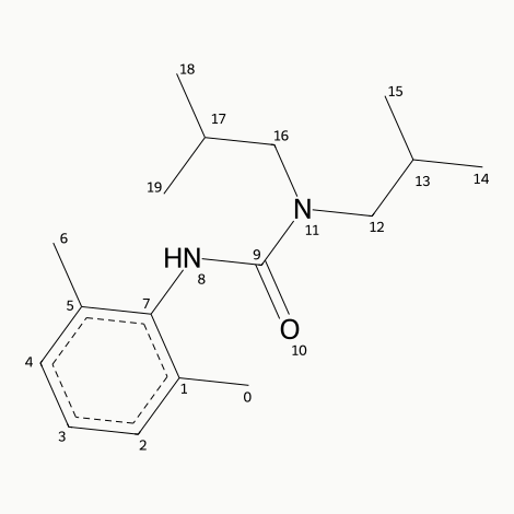 Cc1cccc(C)c1NC(=O)N(CC(C)C)CC(C)C